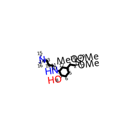 CO[Si](CCC1CCC(O)C(NCCCN(C)C)C1)(OC)OC